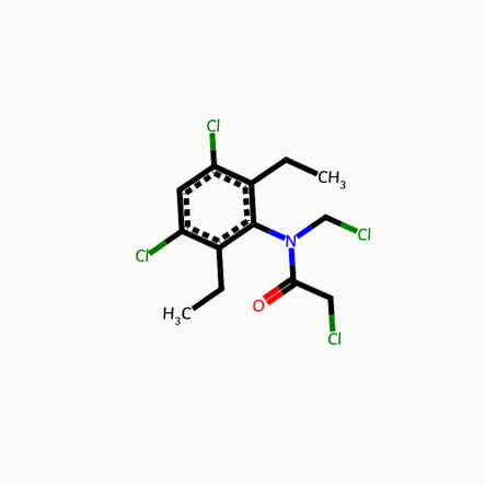 CCc1c(Cl)cc(Cl)c(CC)c1N(CCl)C(=O)CCl